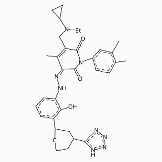 CCN(CC1=C(C)C(=NNc2cccc(C3CCCC(c4nnn[nH]4)C3)c2O)C(=O)N(c2ccc(C)c(C)c2)C1=O)C1CC1